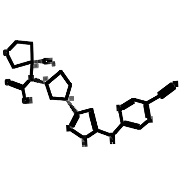 C[C@@]1(N(C(=O)O)[C@@H]2CC[C@H](c3cc(Nc4cnc(C#N)cn4)[nH]n3)C2)CCOC1